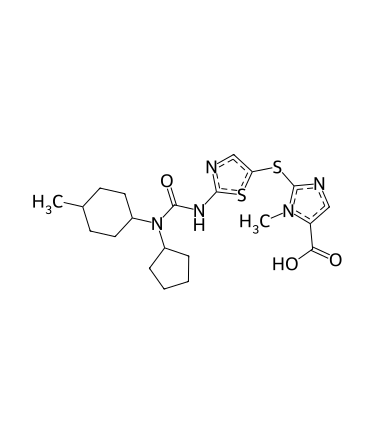 CC1CCC(N(C(=O)Nc2ncc(Sc3ncc(C(=O)O)n3C)s2)C2CCCC2)CC1